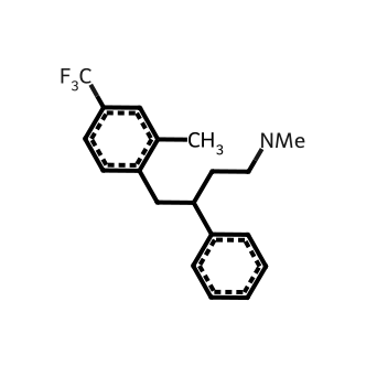 CNCCC(Cc1ccc(C(F)(F)F)cc1C)c1ccccc1